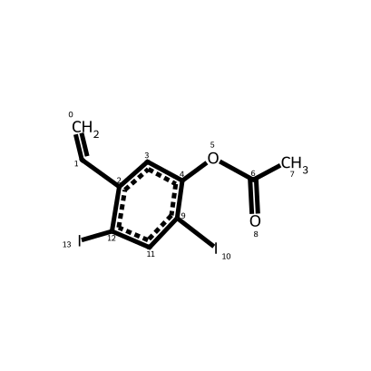 C=Cc1cc(OC(C)=O)c(I)cc1I